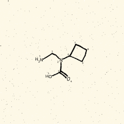 NCN(C(=O)O)C1CCC1